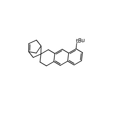 CC(C)(C)c1cccc2cc3c(cc12)CC1(CC3)CC2=CCC1C2